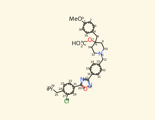 COc1ccc(CC2(OC(=O)O)CCN(Cc3ccc(-c4noc(-c5ccc(CC(C)C)c(Cl)c5)n4)cc3)CC2)cc1